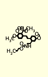 C=CCOC(=O)NCCc1cc2c(cc1/C=C/c1ccc(OC)c(OC)c1C(=O)OC)OCO2